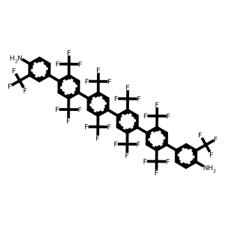 Nc1ccc(-c2cc(C(F)(F)F)c(-c3cc(C(F)(F)F)c(-c4cc(C(F)(F)F)c(-c5cc(C(F)(F)F)c(-c6ccc(N)c(C(F)(F)F)c6)cc5C(F)(F)F)cc4C(F)(F)F)cc3C(F)(F)F)cc2C(F)(F)F)cc1C(F)(F)F